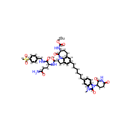 Cn1c(=O)n(C2CCC(=O)NC2=O)c2ccc(CCCCCCc3cc4c5c(c3)C[C@@H](C(=O)N[C@@H](CCC(N)=O)C(=O)NCc3ccc(S(C)(=O)=O)cc3)N5C(=O)[C@@H](NC(=O)OC(C)(C)C)CC4)cc21